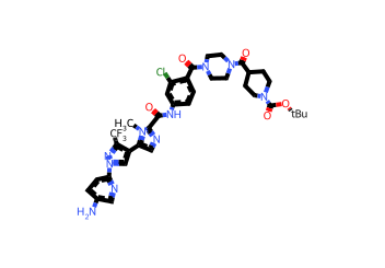 Cn1c(-c2cn(-c3ccc(N)cn3)nc2C(F)(F)F)cnc1C(=O)Nc1ccc(C(=O)N2CCN(C(=O)C3CCN(C(=O)OC(C)(C)C)CC3)CC2)c(Cl)c1